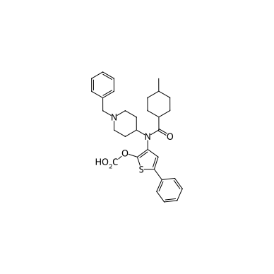 CC1CCC(C(=O)N(c2cc(-c3ccccc3)sc2OC(=O)O)C2CCN(Cc3ccccc3)CC2)CC1